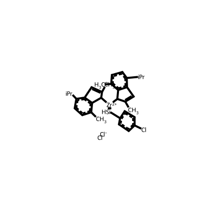 CC1=Cc2c(C(C)C)ccc(C)c2[CH]1[Zr+2](=[SiH]c1ccc(Cl)cc1)[CH]1C(C)=Cc2c(C(C)C)ccc(C)c21.[Cl-].[Cl-]